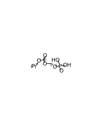 CC(C)OC(=O)OCOP(=O)(O)O